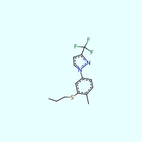 CCCSc1cc(-n2ccc(C(F)(F)F)n2)ccc1C